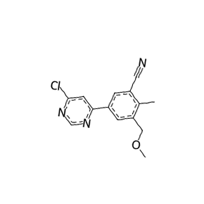 COCc1cc(-c2cc(Cl)ncn2)cc(C#N)c1C